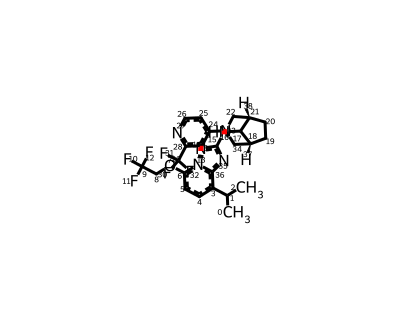 CC(C)c1ccc(OCC(F)(F)F)n2nc(NC3[C@@H]4CC[C@H]3CN(c3ccnc(C(F)(F)F)c3)C4)nc12